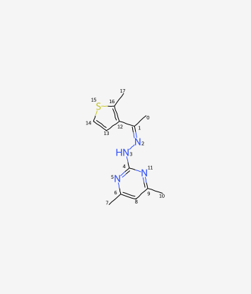 CC(=NNc1nc(C)cc(C)n1)c1ccsc1C